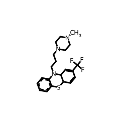 CN1CCN(CCCN2c3ccccc3SC3C=CC(C(F)(F)F)=CC32)CC1